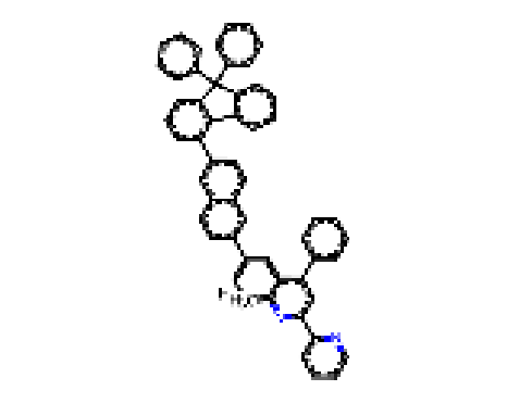 C=c1nc(-c2ccccn2)cc(-c2ccccc2)/c1=C/C(=C\C)c1ccc2cc(-c3cccc4c3-c3ccccc3C4(c3ccccc3)c3ccccc3)ccc2c1